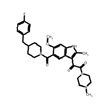 COc1cc2[nH]c(C)c(C(=O)C(=O)N3CCN(C)CC3)c2cc1C(=O)N1CCC(Cc2ccc(F)cc2)CC1